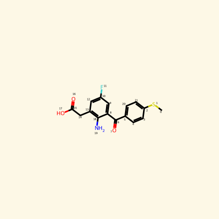 CSc1ccc(C(=O)c2cc(F)cc(CC(=O)O)c2N)cc1